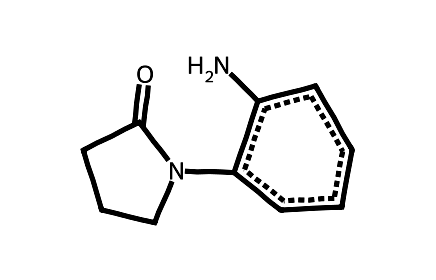 Nc1ccccc1N1CCCC1=O